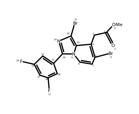 COC(=O)Cc1c(Br)ccn2c(-c3cc(F)cc(F)c3)nc(Br)c12